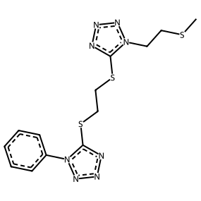 CSCCn1nnnc1SCCSc1nnnn1-c1ccccc1